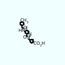 Cc1ccc(CC(=O)Nc2cc3c(=O)n(Cc4ccc(C(=O)O)cc4)cnc3cc2F)cc1